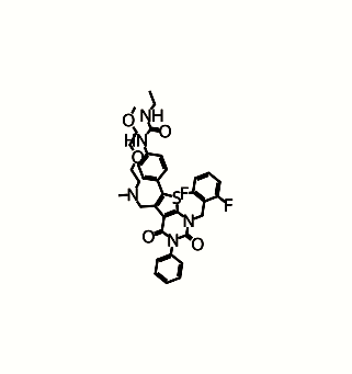 CCNC(=O)Nc1ccc(-c2sc3c(c2CN(C)CCOCCOC)c(=O)n(-c2ccccc2)c(=O)n3Cc2c(F)cccc2F)cc1